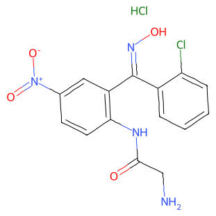 Cl.NCC(=O)Nc1ccc([N+](=O)[O-])cc1C(=NO)c1ccccc1Cl